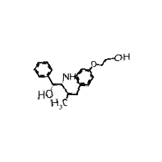 CC(Cc1ccc(OCCO)cc1)[C@@H](N)[C@H](O)c1ccccc1